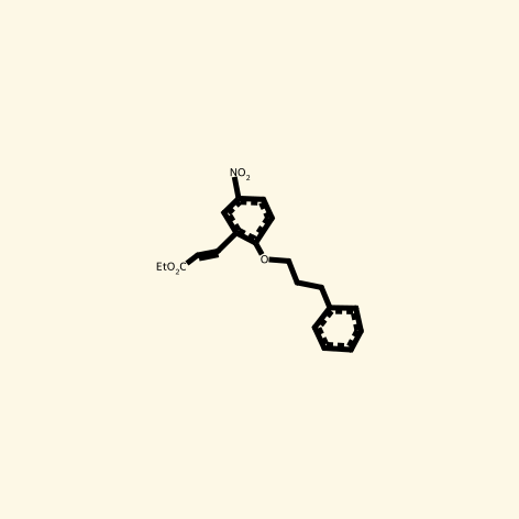 CCOC(=O)C=Cc1cc([N+](=O)[O-])ccc1OCCCc1ccccc1